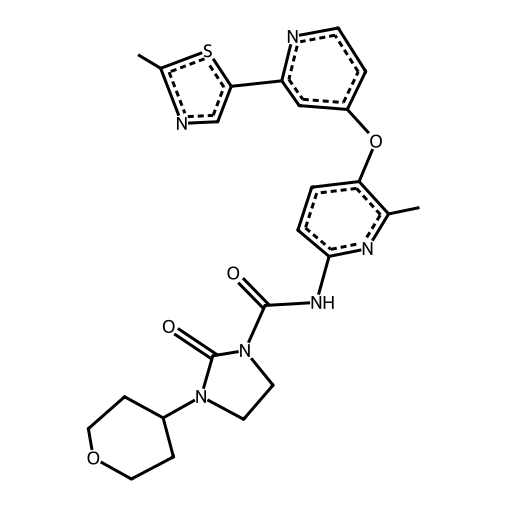 Cc1ncc(-c2cc(Oc3ccc(NC(=O)N4CCN(C5CCOCC5)C4=O)nc3C)ccn2)s1